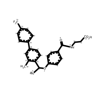 CCC(C)C(Oc1ccc(C(=O)NCCC(=O)O)cc1)c1ccc(-c2ccc(C(F)(F)F)cc2)cc1C